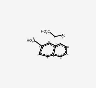 CC(=O)CC(=O)O.O=S(=O)(O)c1ccc2ccccc2c1